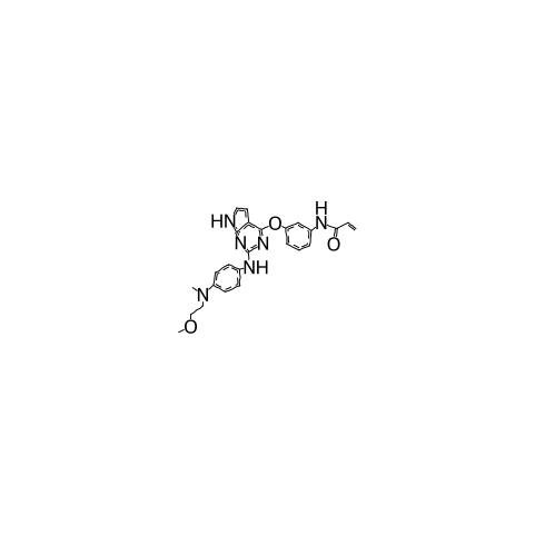 C=CC(=O)Nc1cccc(Oc2nc(Nc3ccc(N(C)CCOC)cc3)nc3[nH]ccc23)c1